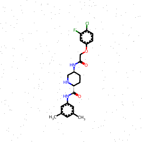 Cc1cc(C)cc(NC(=O)[C@H]2CC[C@H](NC(=O)COc3ccc(Cl)c(F)c3)CN2)c1